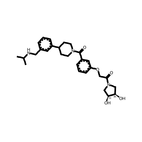 CC(C)NCc1cccc(C2CCN(C(=O)c3cccc(OCC(=O)N4C[C@@H](O)[C@@H](O)C4)c3)CC2)c1